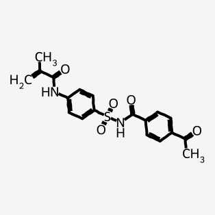 C=C(C)C(=O)Nc1ccc(S(=O)(=O)NC(=O)c2ccc(C(C)=O)cc2)cc1